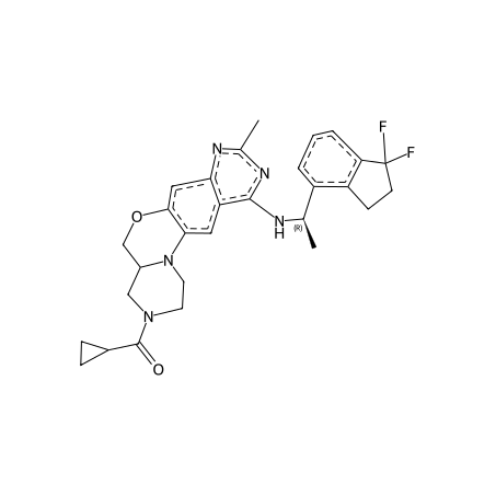 Cc1nc(N[C@H](C)c2cccc3c2CCC3(F)F)c2cc3c(cc2n1)OCC1CN(C(=O)C2CC2)CCN31